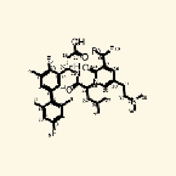 Cc1cc(-c2c(C)cc(F)cc2C)cc([C@H](CC(=O)O)NC(=O)C(CC(C)C)n2cc(CCN(C)C)cc(C(F)F)c2=O)c1F